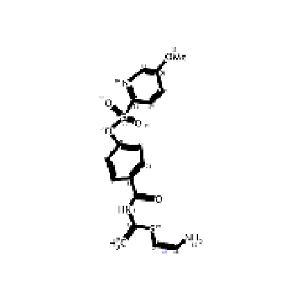 C=C(NC(=O)c1ccc(OS(=O)(=O)c2ccc(OC)cn2)cc1)S/C=C\N